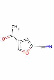 CC(=O)c1coc(C#N)c1